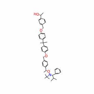 CC(O)c1ccc(COc2ccc(C(C)(C)c3ccc(OCc4ccc(C(C)ON(C(c5ccccc5)C(C)C)C(C)(C)C)cc4)cc3)cc2)cc1